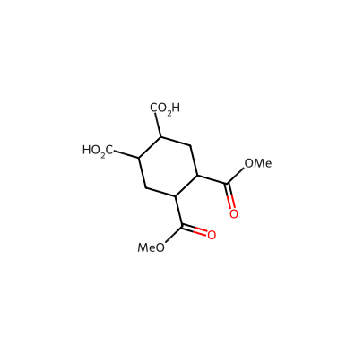 COC(=O)C1CC(C(=O)O)C(C(=O)O)CC1C(=O)OC